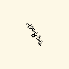 Cc1nc2c3c(nn2c(C)c1Cl)CN(C(=O)c1ccccc1CN1CCN(C(=O)OC(C)(C)C)CC1=O)C3